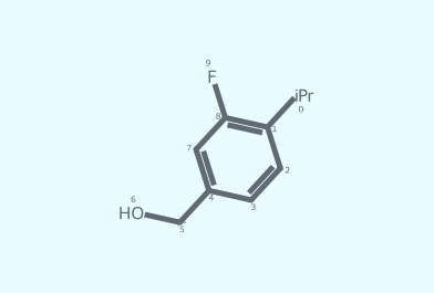 CC(C)c1ccc([CH]O)cc1F